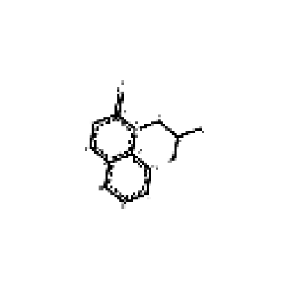 CC(C)Cn1c(=O)ccc2ccccc21